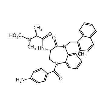 Cc1ccc2ccccc2c1CN1C(=O)[C@@H](NC(=O)[C@H](C)N(C)C(=O)O)CN(C(=O)c2ccc(N)cc2)c2ccccc21